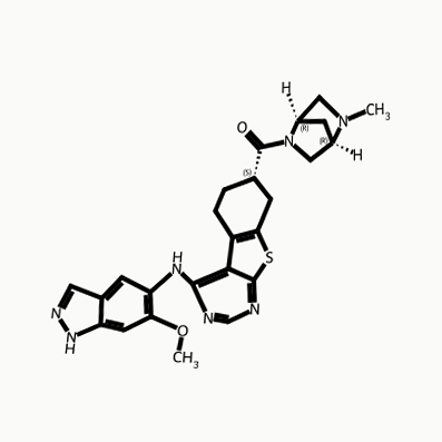 COc1cc2[nH]ncc2cc1Nc1ncnc2sc3c(c12)CC[C@H](C(=O)N1C[C@H]2C[C@@H]1CN2C)C3